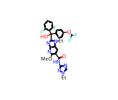 CCn1cnc(NC(=O)c2cc3c(nc2OC)nc(C(O)(c2ccccc2F)c2ccc(OC(F)F)cc2F)n3CC)n1